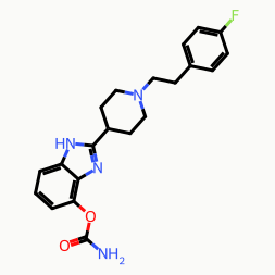 NC(=O)Oc1cccc2[nH]c(C3CCN(CCc4ccc(F)cc4)CC3)nc12